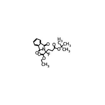 CCOC(=O)C(F)(CCC(=O)OC(C)(C)C)N1C(=O)c2ccccc2C1=O